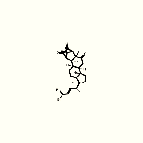 CC[C@H](/C=C/[C@@H](C)[C@H]1CC[C@H]2[C@@H]3CC(=O)[C@H]4C5C(=O)C(=O)C(C5(C)C)[C@]4(C)[C@H]3CC[C@]12C)C(C)C